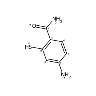 NC(=O)c1ccc(N)cc1S